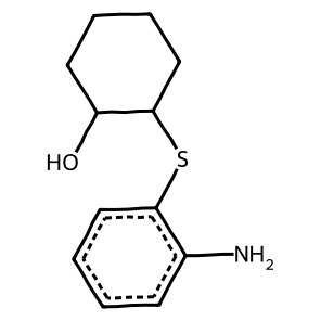 Nc1ccccc1SC1CCCCC1O